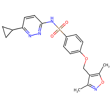 Cc1noc(C)c1COc1ccc(S(=O)(=O)Nc2ccc(C3CC3)nn2)cc1